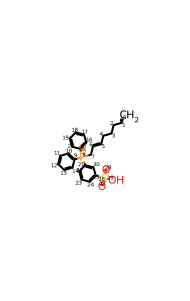 C=CCCCC=CC[PH](c1ccccc1)(c1ccccc1)c1cccc(S(=O)(=O)O)c1